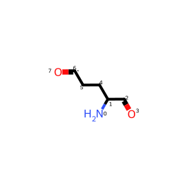 NC([C]=O)CC[C]=O